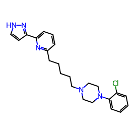 Clc1ccccc1N1CCN(CCCCCc2cccc(-c3cc[nH]n3)n2)CC1